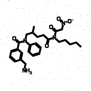 CCCCCN(C(=O)CCC(C)CN(C(=O)c1cccc(CN)c1)c1ccccc1)C(=O)C[N+](=O)[O-]